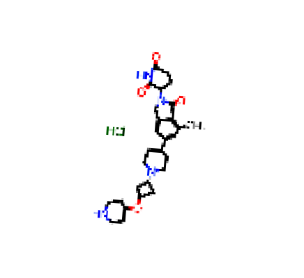 Cc1cc(C2CCN([C@H]3C[C@H](OC4CCNCC4)C3)CC2)cc2c1C(=O)N(C1CCC(=O)NC1=O)C2.Cl